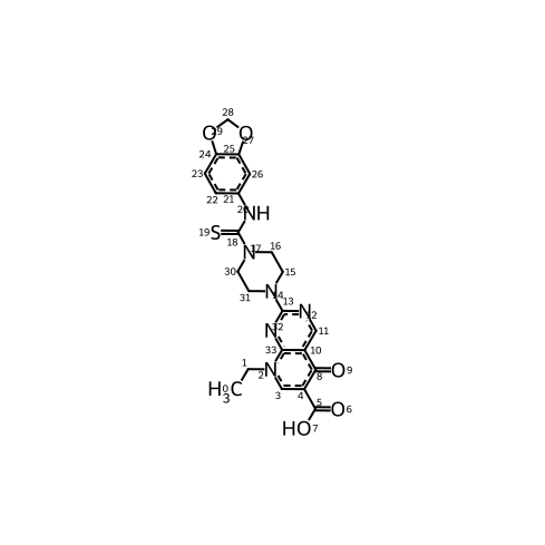 CCn1cc(C(=O)O)c(=O)c2cnc(N3CCN(C(=S)Nc4ccc5c(c4)OCO5)CC3)nc21